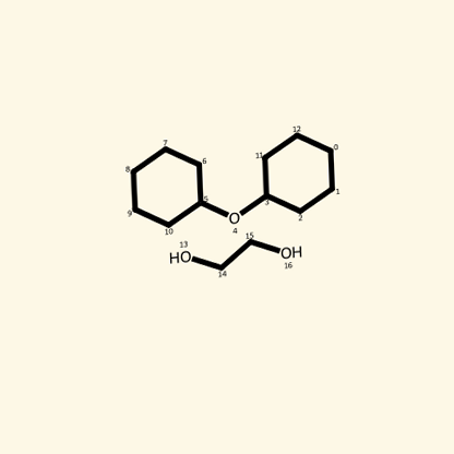 C1CCC(OC2CCCCC2)CC1.OCCO